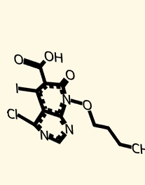 CCCCOn1c(=O)c(C(=O)O)c(I)c2c(Cl)ncnc21